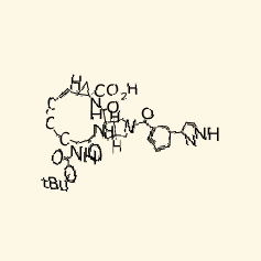 CC(C)(C)OC(=O)N[C@@H]1CCCCC/C=C\[C@H]2C[C@@]2(C(=O)O)NC(=O)[C@@H]2[C@H]3CN(C(=O)c4cccc(-c5cc[nH]n5)c4)C[C@H]3CN2C1=O